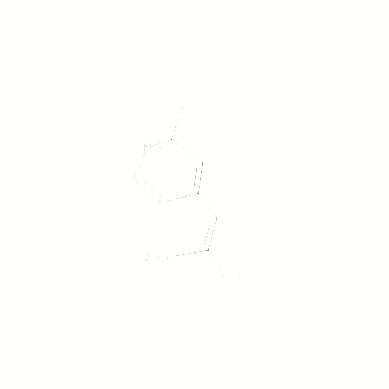 CCCCCC/C(=C\c1ccnc(C)c1)C(=O)O